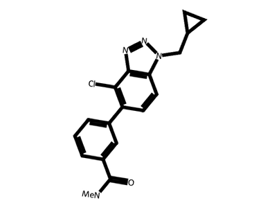 CNC(=O)c1cccc(-c2ccc3c(nnn3CC3CC3)c2Cl)c1